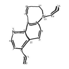 C=Cc1ccnc2c3c(ccc12)N(C=C)CC=C3